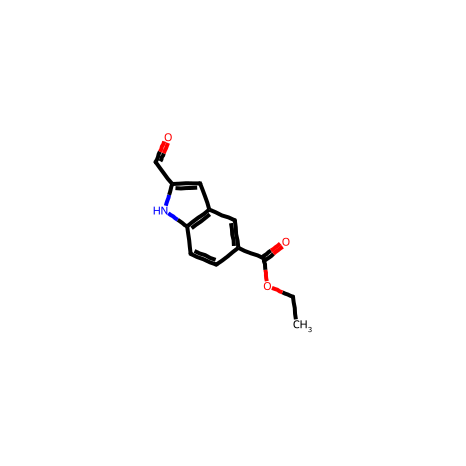 CCOC(=O)c1ccc2[nH]c(C=O)cc2c1